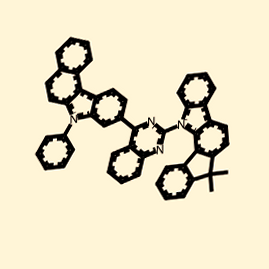 CC1(C)c2ccccc2-c2c1ccc1c3ccccc3n(-c3nc(-c4ccc5c6c7ccccc7ccc6n(-c6ccccc6)c5c4)c4ccccc4n3)c21